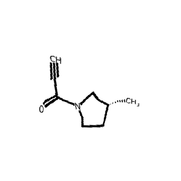 C#CC(=O)N1CC[C@@H](C)C1